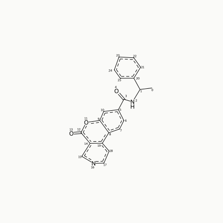 CC(NC(=O)c1ccc2c(c1)oc(=O)c1cnccc12)c1ccccc1